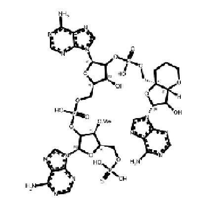 CO[C@@H]1C(OP(=O)(O)OC[C@H]2O[C@@H](n3cnc4c(N)ncnc43)C(OP(=O)(O)OC[C@]34CCCO[C@@H]3C(O)[C@H](n3cnc5c(N)ncnc53)O4)[C@H]2O)[C@H](n2cnc3c(N)ncnc32)O[C@@H]1COP(O)(O)=S